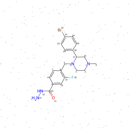 CN1CCN(Cc2ccc(C(=O)NN)cc2F)C(c2ccc(Br)cc2)C1